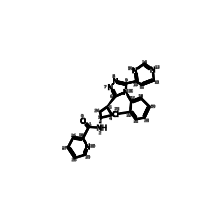 O=C(N[C@H]1C[C@H](c2nnc(-c3ccncn3)n2-c2ccccc2Cl)C1)c1ccccn1